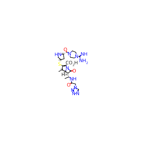 CC(NC(=O)Cn1cnnn1)[C@H]1C(=O)N2C(C(=O)O)=C(S[C@@H]3CN[C@H](C(=O)N4CCN(C(=N)N)CC4)C3)[C@H](C)[C@H]12